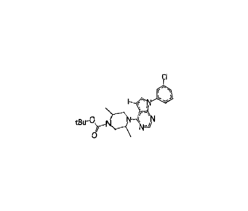 CC1CN(c2ncnc3c2c(I)cn3-c2cccc(Cl)c2)C(C)CN1C(=O)OC(C)(C)C